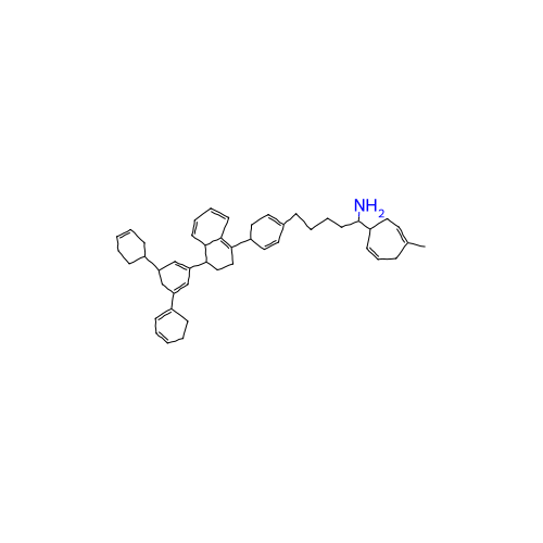 CC1=CCC(C(N)CCCCC2=CCC(C3=C4C=CC=CC4C(C4=CC(C5CC=CCC5)CC(C5=CC=CCC5)=C4)CC3)C=C2)C=CC1